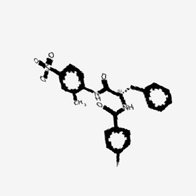 Cc1cc(S(=O)(=O)Cl)ccc1NC(=O)[C@H](Cc1ccccc1)NC(=O)c1ccc(F)cc1